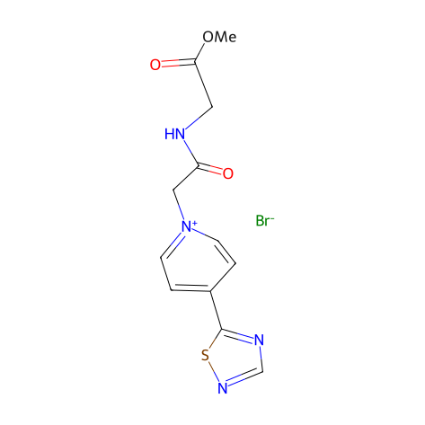 COC(=O)CNC(=O)C[n+]1ccc(-c2ncns2)cc1.[Br-]